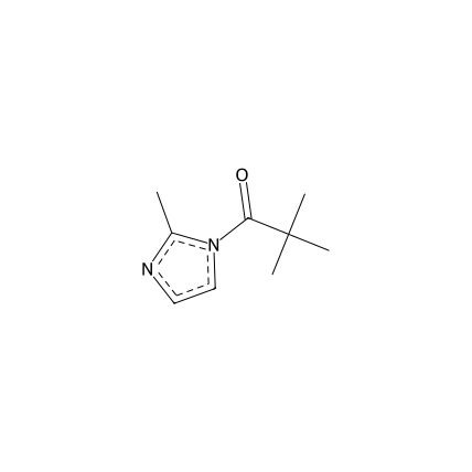 Cc1nccn1C(=O)C(C)(C)C